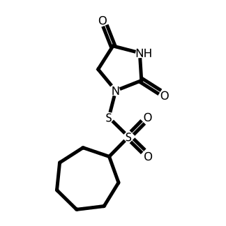 O=C1CN(SS(=O)(=O)C2CCCCCC2)C(=O)N1